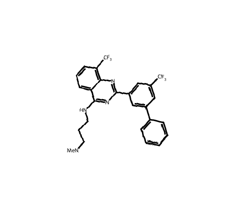 CNCCCNc1nc(-c2cc(-c3ccccc3)cc(C(F)(F)F)c2)nc2c(C(F)(F)F)cccc12